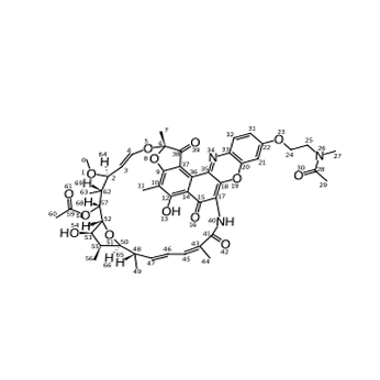 CO[C@H]1/C=C/O[C@@]2(C)Oc3c(C)c(O)c4c(=O)c(c5oc6cc(OCCN(C)C(C)=O)ccc6nc-5c4c3C2=O)NC(=O)/C(C)=C\C=C\[C@H](C)[C@@H]2O[C@H]([C@H](O)[C@@H]2C)[C@H](OC(C)=O)[C@@H]1C